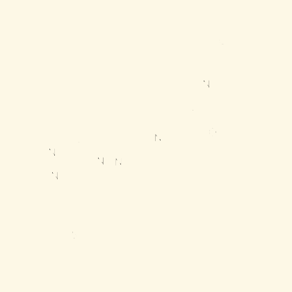 CN(CC(=O)N1CCOCC1)c1ccc2nnc(-c3cccs3)n2n1